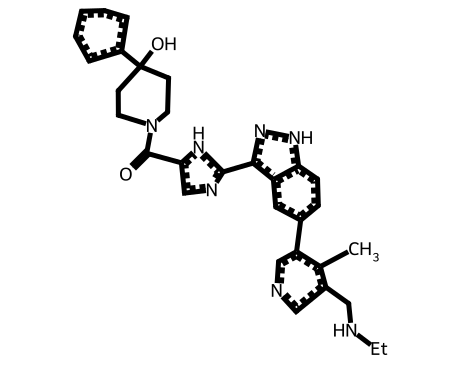 CCNCc1cncc(-c2ccc3[nH]nc(-c4ncc(C(=O)N5CCC(O)(c6ccccc6)CC5)[nH]4)c3c2)c1C